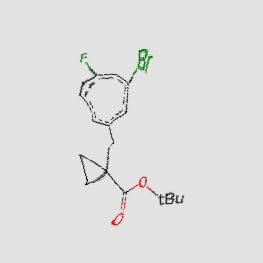 CC(C)(C)OC(=O)C1(Cc2ccc(F)c(Br)c2)CC1